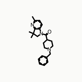 Cc1ccc2c(n1)C(C)(C)CN2C(=O)C1CCN(Cc2ccccc2)CC1